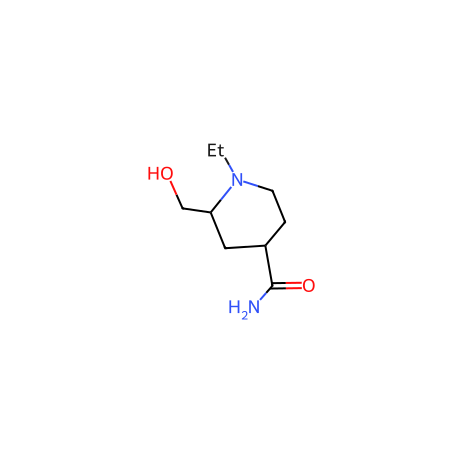 CCN1CCC(C(N)=O)CC1CO